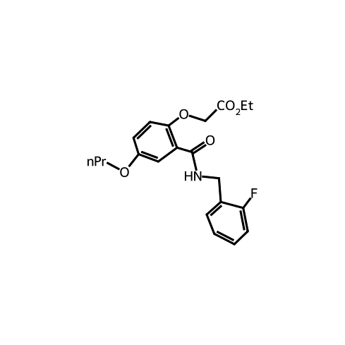 CCCOc1ccc(OCC(=O)OCC)c(C(=O)NCc2ccccc2F)c1